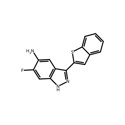 Nc1cc2c(-c3cc4ccccc4s3)n[nH]c2cc1F